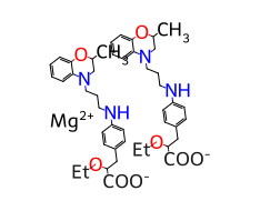 CCOC(Cc1ccc(NCCCN2CC(C)Oc3ccccc32)cc1)C(=O)[O-].CCOC(Cc1ccc(NCCCN2CC(C)Oc3ccccc32)cc1)C(=O)[O-].[Mg+2]